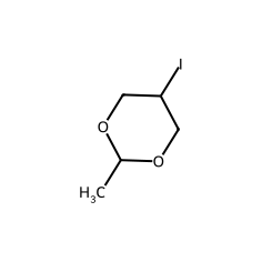 CC1OCC(I)CO1